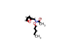 CCCCCON(Cc1ccco1)C(C)=O